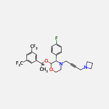 C[C@@H](OC1OCCN(CC#CCN2CCC2)C1c1ccc(F)cc1)c1cc(C(F)(F)F)cc(C(F)(F)F)c1